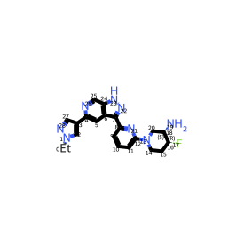 CCn1cc(-c2cc3c(-c4cccc(N5CC[C@@H](F)[C@@H](N)C5)n4)n[nH]c3cn2)cn1